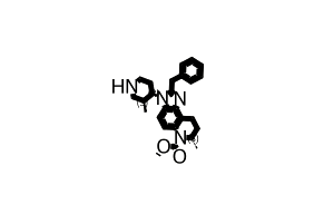 COC(=O)N1c2ccc3c(nc(Cc4ccccc4)n3[C@@H]3CCNC[C@@H]3C)c2CC[C@@H]1C